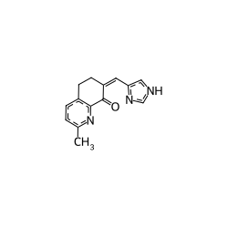 Cc1ccc2c(n1)C(=O)C(=Cc1c[nH]cn1)CC2